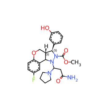 COC(=O)N1[C@H](c2cccc(O)c2)[C@H]2COc3ccc(F)cc3C2N1C(CC(N)=O)N1CCCC1